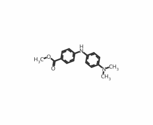 COC(=O)c1ccc(Nc2ccc(N(C)C)cc2)cc1